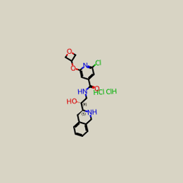 Cl.Cl.O=C(NC[C@@H](O)[C@@H]1Cc2ccccc2CN1)c1cc(Cl)nc(OC2COC2)c1